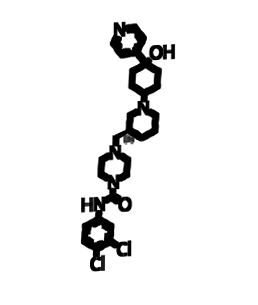 O=C(Nc1ccc(Cl)c(Cl)c1)N1CCN(C[C@@H]2CCCN(C3CCC(O)(c4ccncc4)CC3)C2)CC1